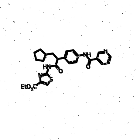 CCOC(=O)c1csc(NC(=O)C(CC2CCCC2)c2ccc(NC(=O)c3cccnc3)cc2)n1